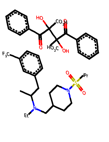 CCN(CC1CCN(S(=O)(=O)C(C)C)CC1)C(C)Cc1cccc(C(F)(F)F)c1.O=C(O)C(O)(C(=O)c1ccccc1)C(O)(C(=O)O)C(=O)c1ccccc1